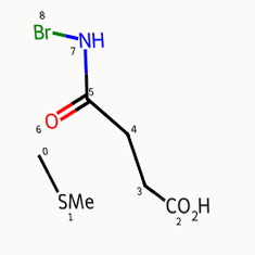 CSC.O=C(O)CCC(=O)NBr